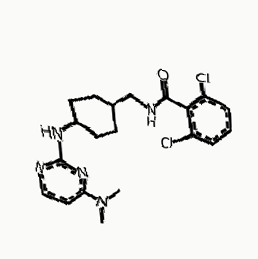 CN(C)c1ccnc(NC2CCC(CNC(=O)c3c(Cl)cccc3Cl)CC2)n1